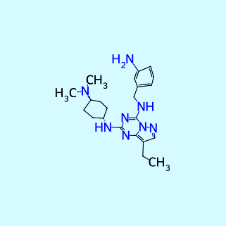 CCc1cnn2c(NCc3cccc(N)c3)nc(N[C@H]3CC[C@H](N(C)C)CC3)nc12